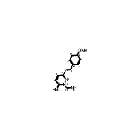 COc1ccc(CSc2ccc(=N)n(C=N)n2)cc1